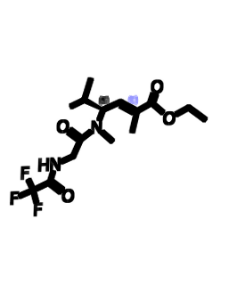 CCOC(=O)/C(C)=C/[C@H](C(C)C)N(C)C(=O)CNC(=O)C(F)(F)F